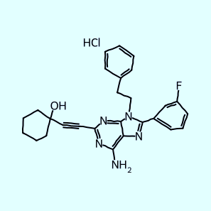 Cl.Nc1nc(C#CC2(O)CCCCC2)nc2c1nc(-c1cccc(F)c1)n2CCc1ccccc1